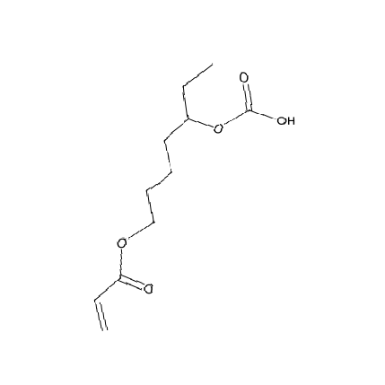 C=CC(=O)OCCCCC(CC)OC(=O)O